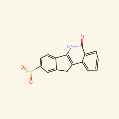 O=c1[nH]c2c(c3ccccc13)Cc1cc([SH](=O)=O)ccc1-2